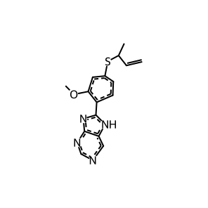 C=CC(C)Sc1ccc(-c2nc3ncncc3[nH]2)c(OC)c1